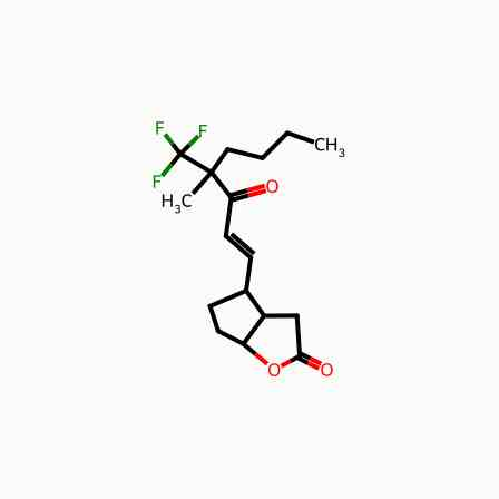 CCCCC(C)(C(=O)/C=C/C1CCC2OC(=O)CC12)C(F)(F)F